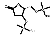 CC(C)(C)[Si](C)(C)OC[C@H]1OC(=O)CC1O[Si](C)(C)C(C)(C)C